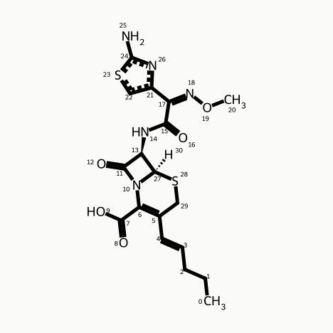 CCC/C=C/C1=C(C(=O)O)N2C(=O)[C@@H](NC(=O)/C(=N\OC)c3csc(N)n3)[C@H]2SC1